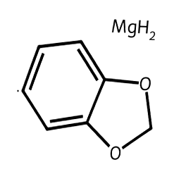 [MgH2].[c]1ccc2c(c1)OCO2